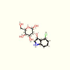 OC[C@H]1O[C@@H](O)[C@H](Oc2c[nH]c3cccc(Cl)c23)[C@@H](O)[C@H]1O